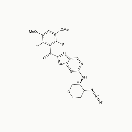 COc1cc(OC)c(F)c(C(=O)c2cc3nc(N[C@@H]4COCCC4N=[N+]=[N-])ncc3o2)c1F